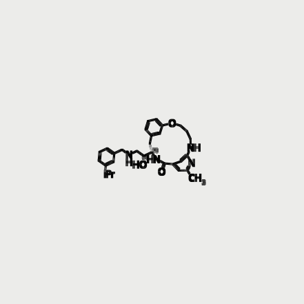 Cc1cc2cc(n1)NCCCOc1cccc(c1)C[C@@H]([C@H](O)CNCc1cccc(C(C)C)c1)NC2=O